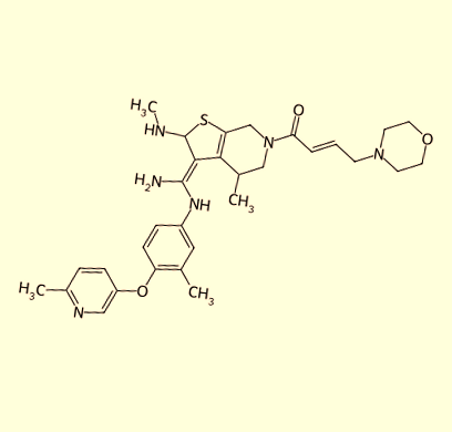 CNC1SC2=C(/C1=C(/N)Nc1ccc(Oc3ccc(C)nc3)c(C)c1)C(C)CN(C(=O)/C=C/CN1CCOCC1)C2